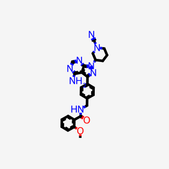 COc1ccccc1C(=O)NCc1ccc(-c2nn(C3CCCN(C#N)C3)c3ncnc(N)c23)cc1